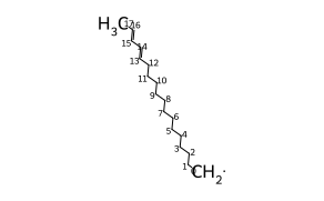 [CH2]CCCCCCCCCCCCC=CC=CC